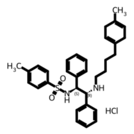 CC1=CCC(CCCCN[C@H](c2ccccc2)[C@@H](NS(=O)(=O)c2ccc(C)cc2)c2ccccc2)=CC1.Cl